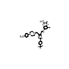 Cc1cc(SCc2sc(-c3ccc(C(F)(F)F)cc3)nc2CN2CCN(c3ccc(O)cc3)CC2)ccc1OC(C)C(=O)O